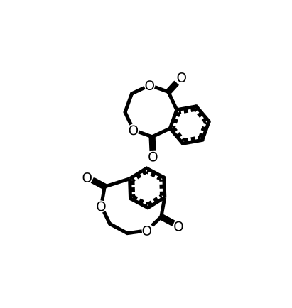 O=C1OCCOC(=O)c2ccc1cc2.O=C1OCCOC(=O)c2ccccc21